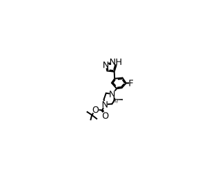 C[C@H]1CN(C(=O)OC(C)(C)C)CCN1c1cc(F)cc(-c2cn[nH]c2)c1